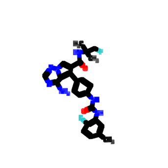 Cc1ccc(F)c(NC(=O)Nc2ccc(-c3c(C(=O)NC(C)(C)CF)cn4ncnc(N)c34)cc2)c1